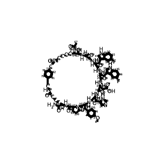 COc1ccc(C[C@@H]2NC(=O)[C@H](Cc3cnc[nH]3)NC(=O)[C@H](CC(=O)O)NC(=O)[C@H](Cc3c[nH]c4ccc(F)cc34)NC(=O)[C@H](Cc3c[nH]c4ccc(F)cc34)NC(=O)[C@@H](C)NC(=O)[C@H](NC(C)=O)CCCCNC(=O)Cc3ccc(cc3)CNC(=O)CCC[C@@H](C(N)=O)NC(=O)[C@]3(C)CCCN3C2=O)cc1